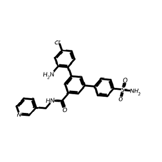 Nc1cc(Cl)ccc1-c1cc(C(=O)NCc2cccnc2)cc(-c2ccc(S(N)(=O)=O)cc2)c1